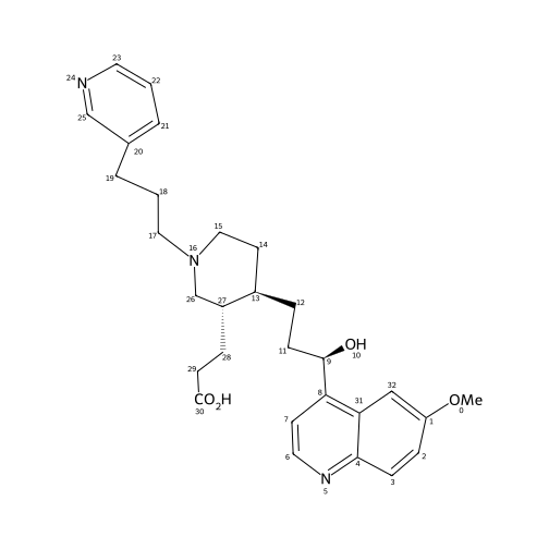 COc1ccc2nccc([C@H](O)CC[C@@H]3CCN(CCCc4cccnc4)C[C@H]3CCC(=O)O)c2c1